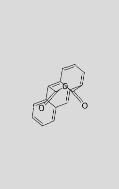 O=c1oc(=O)c2c3ccccc3cc3c1cccc32